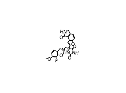 COc1ccc(CN(C=O)C[C@@]2(c3cc4c5c(ccc4o3)CNC5=O)NC(=O)NC2=O)cc1F